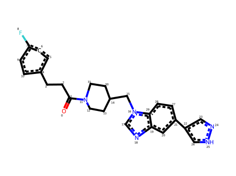 O=C(CCc1ccc(F)cc1)N1CCC(Cn2cnc3cc(-c4cn[nH]c4)ccc32)CC1